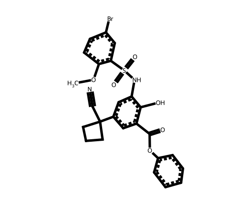 COc1ccc(Br)cc1S(=O)(=O)Nc1cc(C2(C#N)CCC2)cc(C(=O)Oc2ccccc2)c1O